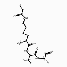 CCC(=O)NCCCCC(N)C(=O)NC(C(=O)N[C@@H](C)C=O)C(C)C